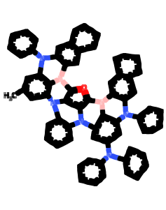 Cc1cc2c3c(c1)N1c4ccccc4N4c5cc(N(c6ccccc6)c6ccccc6)cc6c5B(c5cc7ccccc7cc5N6c5ccccc5)c5oc(c1c54)B3c1cc3ccccc3cc1N2c1ccccc1